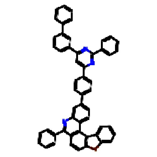 c1ccc(-c2cccc(-c3cc(-c4ccc(-c5ccc6c(c5)nc(-c5ccccc5)c5ccc7sc8ccccc8c7c56)cc4)nc(-c4ccccc4)n3)c2)cc1